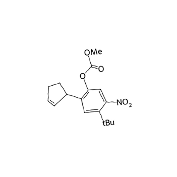 COC(=O)Oc1cc([N+](=O)[O-])c(C(C)(C)C)cc1C1C=CCC1